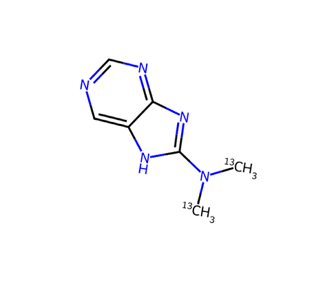 [13CH3]N([13CH3])c1nc2ncncc2[nH]1